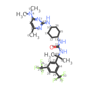 Cc1cc(N(C)C)nc(N[C@H]2CC[C@@H](NC(=O)NC(C)(C)c3cc(C(F)(F)F)cc(C(F)(F)F)c3)CC2)n1